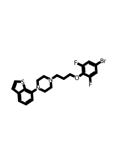 Fc1cc(Br)cc(F)c1OCCCN1CCN(c2cccc3ccsc23)CC1